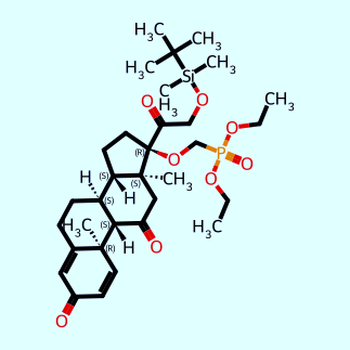 CCOP(=O)(CO[C@]1(C(=O)CO[Si](C)(C)C(C)(C)C)CC[C@H]2[C@@H]3CCC4=CC(=O)C=C[C@]4(C)[C@H]3C(=O)C[C@@]21C)OCC